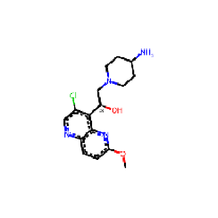 COc1ccc2ncc(Cl)c([C@H](O)CN3CCC(N)CC3)c2n1